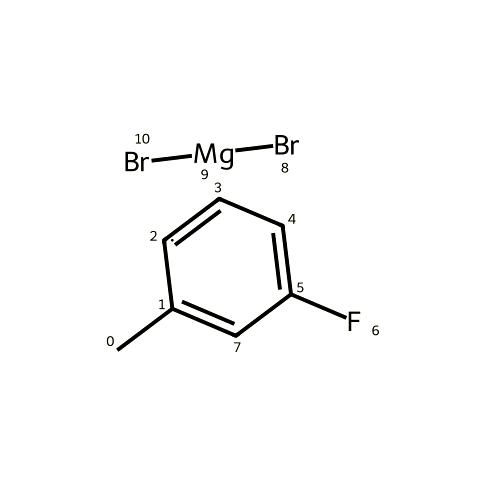 Cc1[c]ccc(F)c1.[Br][Mg][Br]